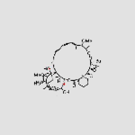 CC[C@@H](C)[C@@]1(O)OCC(C)[C@H](OC)/C(C)=C/C=C\C=C\[C@@H](C)C[C@@H](C)C2([C@@H]3CC[C@@H](O)[C@H](OC)C3)C(O)[C@H](OC)[C@H](O)C(C)C[C@@H](C)C(O)C[C@H](OC(=O)[C@H]3CCCCN3C(=O)C1=O)[C@@H]2C